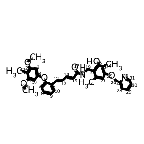 COc1cc(Oc2ccccc2C=CC=CC(=O)NCc2c(C)cc(OCc3ccccn3)c(C)c2O)cc(OC)c1C